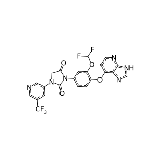 O=C1CN(c2cncc(C(F)(F)F)c2)C(=O)N1c1ccc(Oc2ccnc3[nH]cnc23)c(OC(F)F)c1